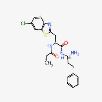 CCC(=O)NC(Cc1nc2ccc(Cl)cc2s1)C(=O)N[C@H](N)CCc1ccccc1